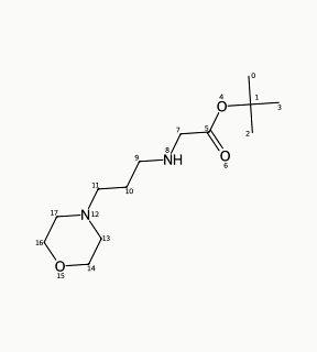 CC(C)(C)OC(=O)CNCCCN1CCOCC1